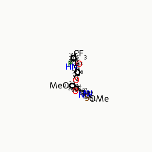 COc1cc(OCc2cccc(NC(=O)c3cc(C(F)(F)F)ccc3F)c2)c2cc(-c3cn4nc(OC)sc4n3)oc2c1